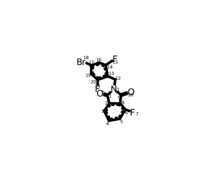 O=C1c2cccc(F)c2C(=O)N1Cc1c(F)cc(Br)cc1F